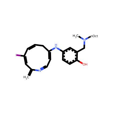 C=C1/C=C(I)\C=C/C/C(Nc2ccc(O)c(CN(C)CCCCCCCC)c2)=C\C=N/1